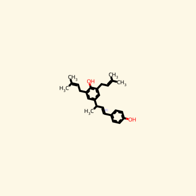 CC(C)=CCc1cc(C(C)/C=C/c2ccc(O)cc2)cc(CC=C(C)C)c1O